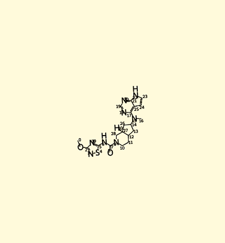 COc1nsc(NC(=O)N2CCC3CC(N(C)c4ncnc5[nH]ccc45)C[C@H]3C2)n1